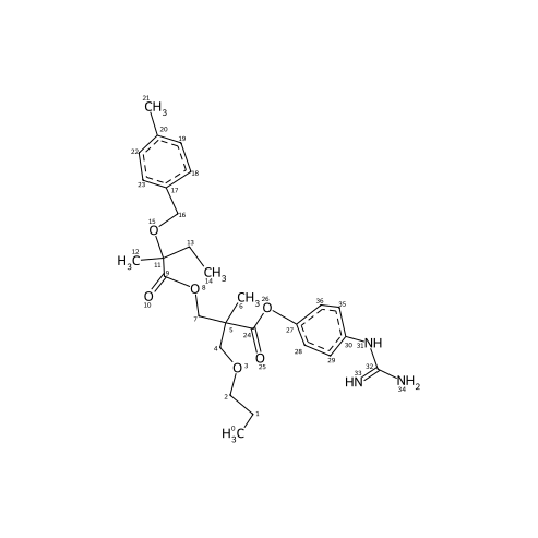 CCCOCC(C)(COC(=O)C(C)(CC)OCc1ccc(C)cc1)C(=O)Oc1ccc(NC(=N)N)cc1